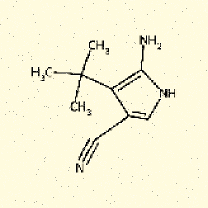 CC(C)(C)c1c(C#N)c[nH]c1N